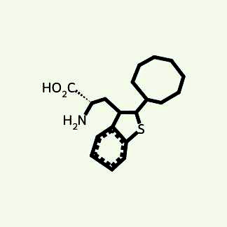 N[C@@H](CC1c2ccccc2SC1C1CCCCCCC1)C(=O)O